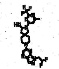 Cc1cc(N2CC3(CCN(c4cnc5cnn(CC(F)F)c5n4)CC3)CC2O)nc(C(F)(F)F)n1